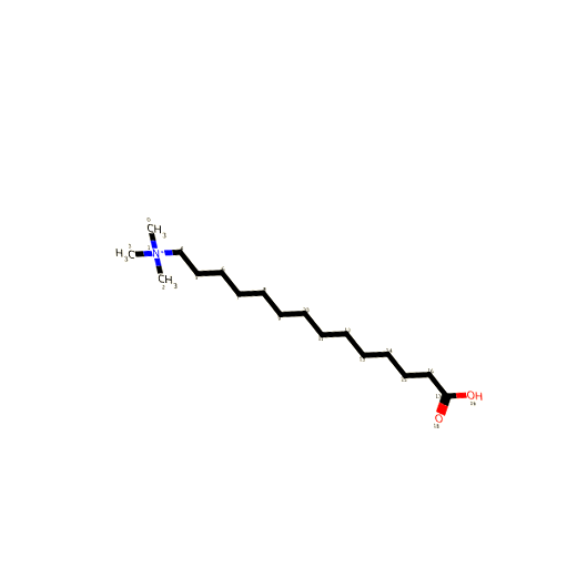 C[N+](C)(C)CCCCCCCCCCCCCC(=O)O